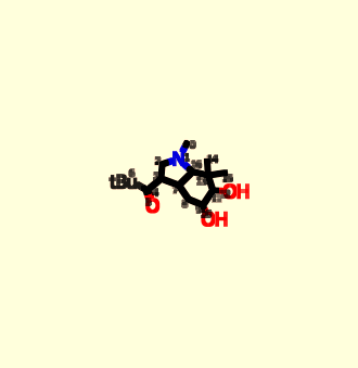 CN1CC(C(=O)C(C)(C)C)C2CC(O)C(O)C(C)(C)C21